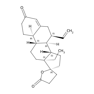 C=C[C@@H]1CC2=CC(=O)CC[C@@H]2[C@H]2CC[C@@]3(CC)[C@@H](CC[C@@]34CCC(=O)O4)[C@@H]21